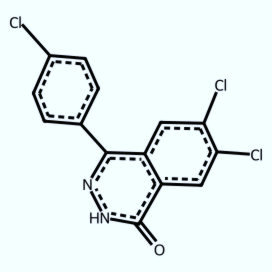 O=c1[nH]nc(-c2ccc(Cl)cc2)c2cc(Cl)c(Cl)cc12